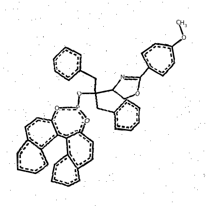 COc1ccc(C2=NC(C(Cc3ccccc3)(Cc3ccccc3)Op3oc4ccc5ccccc5c4c4c(ccc5ccccc54)o3)CO2)cc1